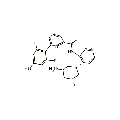 C[C@@H]1C[C@@H](N)C[C@H](c2ccncc2NC(=O)c2cccc(-c3c(F)cc(O)cc3F)n2)C1